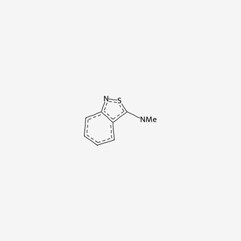 CNc1snc2ccccc12